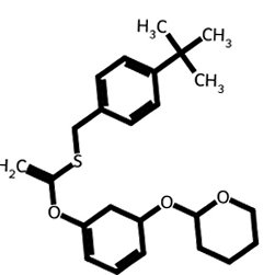 C=C(OC1=CC=CC(OC2CCCCO2)C1)SCc1ccc(C(C)(C)C)cc1